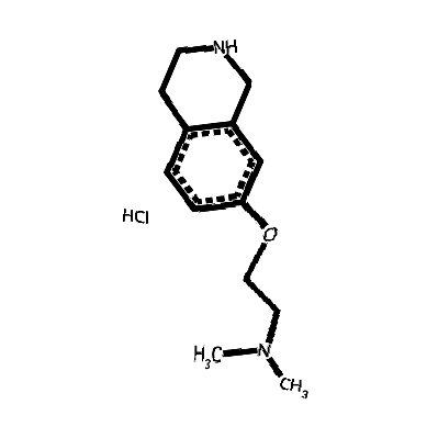 CN(C)CCOc1ccc2c(c1)CNCC2.Cl